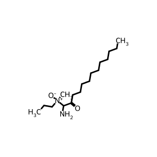 CCCCCCCCCCCC(=O)C(N)[N+](C)([O-])CCC